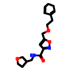 O=C(NCC1CCOC1)c1cc(COCCC2=CCCC=C2)on1